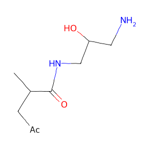 CC(=O)CC(C)C(=O)NCC(O)CN